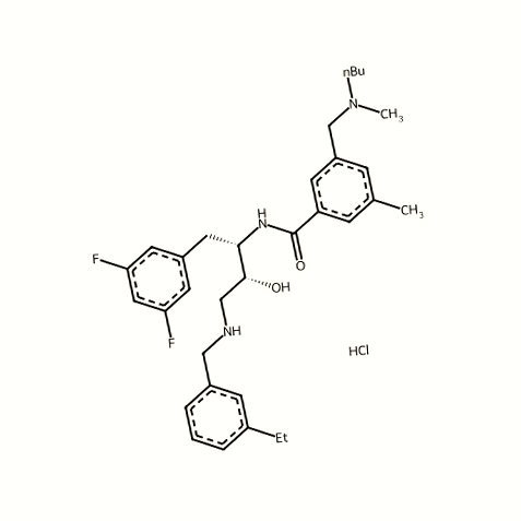 CCCCN(C)Cc1cc(C)cc(C(=O)N[C@@H](Cc2cc(F)cc(F)c2)[C@H](O)CNCc2cccc(CC)c2)c1.Cl